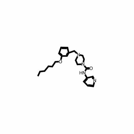 CCCCCCOc1cccc(CN2CCN(C(=O)Nc3cccnc3)CC2)c1